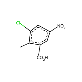 Cc1c(Cl)cc([N+](=O)[O-])cc1C(=O)O